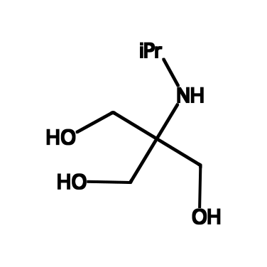 CC(C)NC(CO)(CO)CO